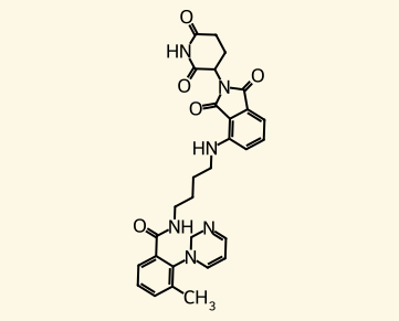 Cc1cccc(C(=O)NCCCCNc2cccc3c2C(=O)N(C2CCC(=O)NC2=O)C3=O)c1N1C=CC=NC1